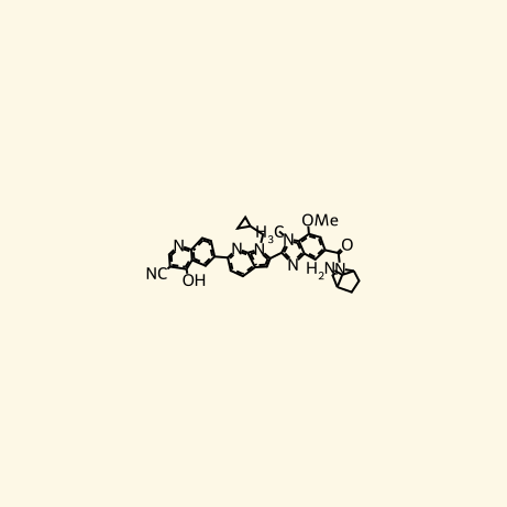 COc1cc(C(=O)N2CC3CCC2C3N)cc2nc(-c3cc4ccc(-c5ccc6ncc(C#N)c(O)c6c5)nc4n3CC3CC3)n(C)c12